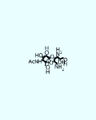 CC(=O)N[C@H]1[C@H](O)[C@@H](O)[C@@H](O[C@@H]([C@H](N)[C@H](O)CO)[C@@H](O)CN)O[C@@H]1CO